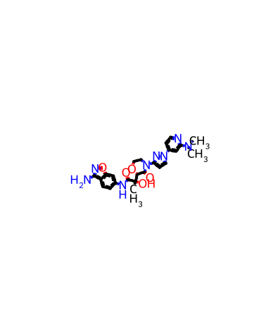 CN(C)c1cc(-n2ccc(N3CCOC(C(C)(O)C(=O)Nc4ccc5c(N)noc5c4)C3=O)n2)ccn1